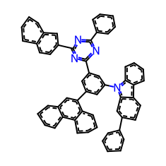 c1ccc(-c2ccc3c4ccccc4n(-c4cc(-c5nc(-c6ccccc6)nc(-c6ccc7ccccc7c6)n5)cc(-c5cc6ccccc6c6ccccc56)c4)c3c2)cc1